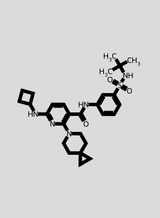 CC(C)(C)NS(=O)(=O)c1cccc(NC(=O)c2ccc(NC3CCC3)nc2N2CCC3(CC2)CC3)c1